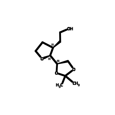 CC1(C)OC[C@H]([C@H]2OCC[C@H]2CCO)O1